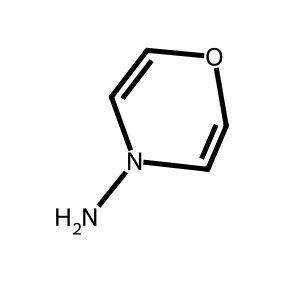 NN1C=COC=C1